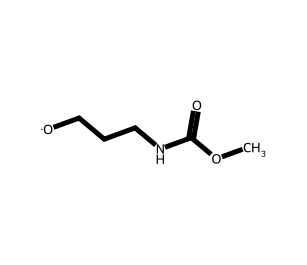 COC(=O)NCCC[O]